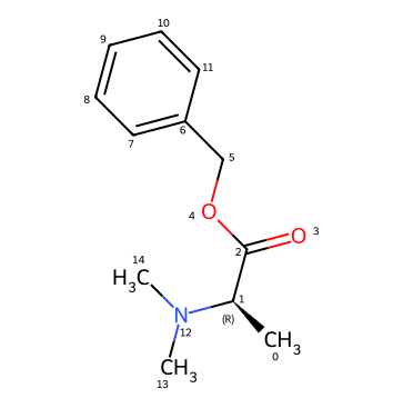 C[C@H](C(=O)OCc1ccccc1)N(C)C